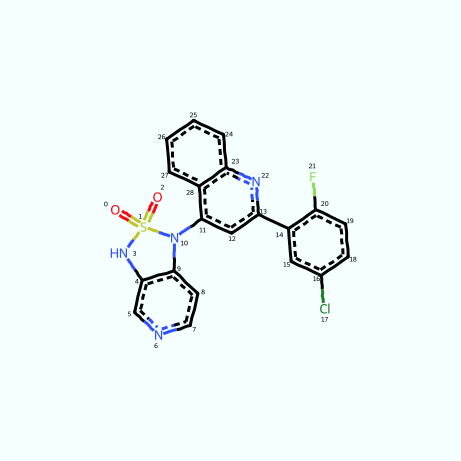 O=S1(=O)Nc2cnccc2N1c1cc(-c2cc(Cl)ccc2F)nc2ccccc12